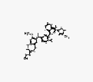 COc1cc2c(cc1Nc1ncc(Cl)c(Nc3ccccc3S(=O)(=O)N3CC[C@H](C)C3)n1)CCN(CCO)CC2